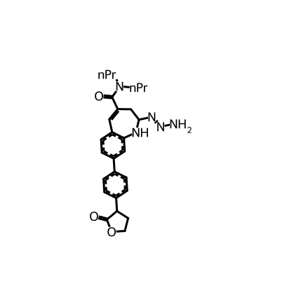 CCCN(CCC)C(=O)C1=Cc2ccc(-c3ccc(C4CCOC4=O)cc3)cc2NC(N=NN)C1